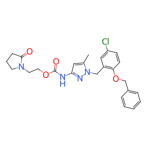 Cc1cc(NC(=O)OCCN2CCCC2=O)nn1Cc1cc(Cl)ccc1OCc1ccccc1